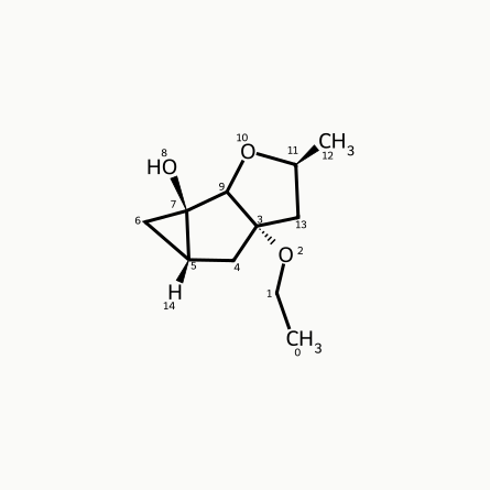 CCO[C@]12C[C@@H]3C[C@]3(O)C1O[C@@H](C)C2